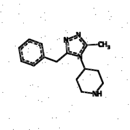 Cc1nnc(Cc2ccccc2)n1C1CCNCC1